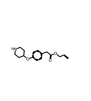 C=CCOC(=O)Cc1ccc(OC2CCNCC2)cc1